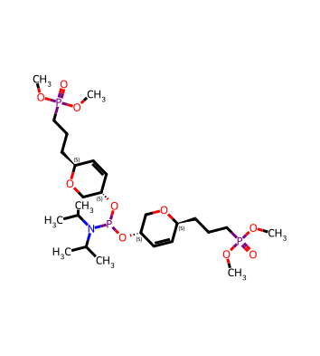 COP(=O)(CCC[C@H]1C=C[C@H](OP(O[C@H]2C=C[C@H](CCCP(=O)(OC)OC)OC2)N(C(C)C)C(C)C)CO1)OC